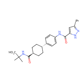 CC(C)c1cc(C(=O)Nc2ccc([C@H]3CC[C@H](C(=O)NC(C)(C)C(=O)O)CC3)cc2)[nH]n1